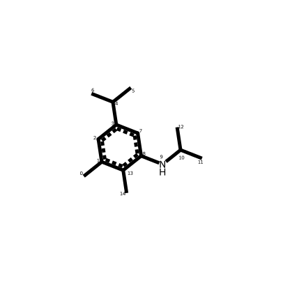 Cc1cc(C(C)C)cc(NC(C)C)c1C